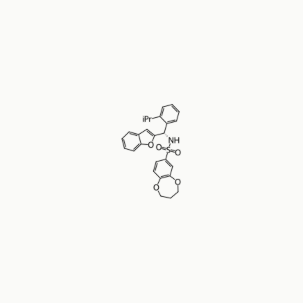 CC(C)c1ccccc1[C@H](NS(=O)(=O)c1ccc2c(c1)OCCCO2)c1cc2ccccc2o1